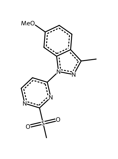 COc1ccc2c(C)nn(-c3ccnc(S(C)(=O)=O)n3)c2c1